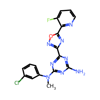 CN(c1cccc(Cl)c1)c1nc(N)nc(-c2noc(-c3ncccc3F)n2)n1